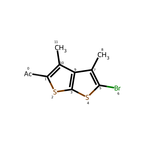 CC(=O)c1sc2sc(Br)c(C)c2c1C